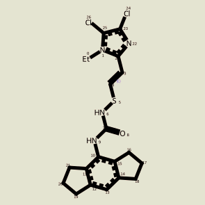 CCn1c(/C=C/SNC(=O)Nc2c3c(cc4c2CCC4)CCC3)nc(Cl)c1Cl